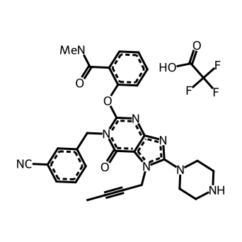 CC#CCn1c(N2CCNCC2)nc2nc(Oc3ccccc3C(=O)NC)n(Cc3cccc(C#N)c3)c(=O)c21.O=C(O)C(F)(F)F